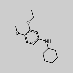 CCOc1cc(NC2CCCCC2)ccc1OC